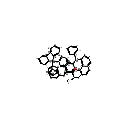 CC1Cc2ccc3cccc(N(c4ccccc4)c4ccccc4)c3c2C=C1/C(=C/c1ccccc1)c1cccc(C2(c3ccccc3)c3ccccc3-c3ccccc32)c1